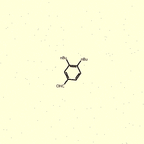 CCCCc1ccc(C=O)cc1CCCC